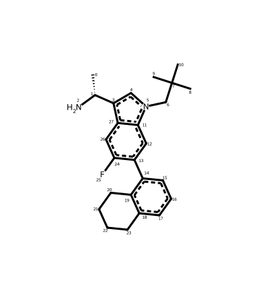 C[C@@H](N)c1cn(CC(C)(C)C)c2cc(-c3cccc4c3CCCC4)c(F)cc12